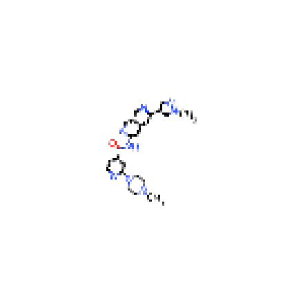 CN1CCN(c2cc(C(=O)Nc3cc4cc(-c5cnn(C)c5)ncc4cn3)ccn2)CC1